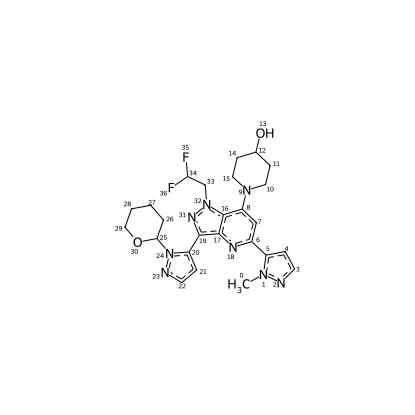 Cn1nccc1-c1cc(N2CCC(O)CC2)c2c(n1)c(-c1ccnn1C1CCCCO1)nn2CC(F)F